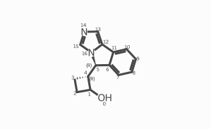 OC1CC[C@@H]1[C@@H]1c2ccccc2-c2cncn21